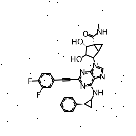 CNC(=O)[C@]12CC1[C@@H](n1cnc3c(NC4C[C@H]4c4ccccc4)nc(C#Cc4ccc(F)c(F)c4)nc31)C(O)[C@@H]2O